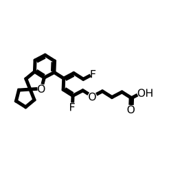 O=C(O)CCCOC/C(F)=C\C(=C/CF)c1cccc2c1OC1(CCCC1)C2